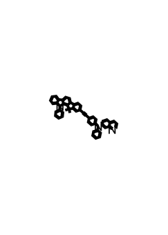 CC1(C)c2cc(C#Cc3ccc(N(c4ccccc4)c4ccc5cccnc5c4)cc3)ccc2-c2ccc3c4ccccc4n(-c4ccccc4)c3c21